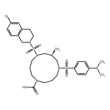 C[C@H]1CN(S(=O)(=O)c2ccc(N(C)C)cc2)CCCN(C(=O)O)CCCN(S(=O)(=O)N2CCc3cc(Cl)ccc3C2)C1